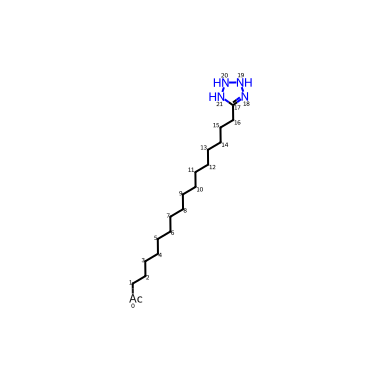 CC(=O)CCCCCCCCCCCCCCCCC1=NNNN1